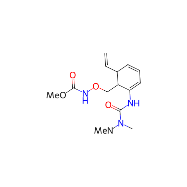 C=CC1C=CC=C(NC(=O)N(C)NC)C1CONC(=O)OC